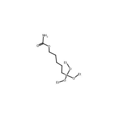 CCO[Si](CCCCCOC(N)=O)(OCC)OCC